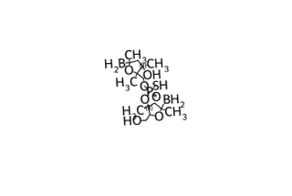 BC1(C)C[C@@](C)(OP(=O)(S)OCC2(C)OC(B)(C)C[C@@]2(C)O)C(CO)O1